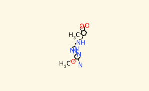 CCOc1cc(-n2ncc(CNCCc3ccc4c(c3C)COC4=O)n2)ncc1C#N